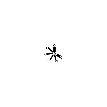 [O]=[Zr](=[O])([Cl])([Cl])([Cl])[Cl]